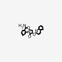 NC(=O)c1ccccc1N1CCC(Oc2ccc3ccccc3n2)C1=O